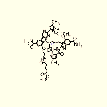 CCn1nc(C)cc1C(=O)Nc1nc2cc(C(N)=O)cc(OC)c2n1C/C=C/Cn1c2nc(-c3cc(C)nn3CC)ncc2c2cc(C(N)=O)cc(OCCCNC(=O)CCCC(=O)OC)c21